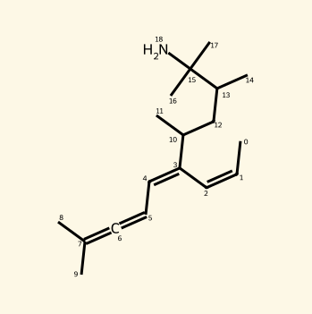 C/C=C\C(=C/C=C=C(C)C)C(C)CC(C)C(C)(C)N